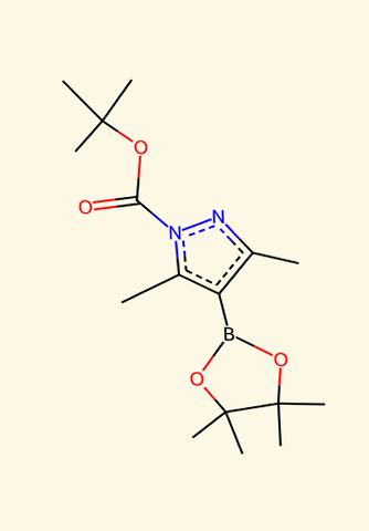 Cc1nn(C(=O)OC(C)(C)C)c(C)c1B1OC(C)(C)C(C)(C)O1